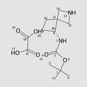 CC(C)(C)OC(=O)N[C@@H]1CCC12CNC2.O=C(O)C(=O)O